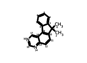 CC1(C)c2ccccc2-c2c1ccc1ncncc21